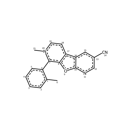 Cc1ccccc1-c1c2oc3ncc(C#N)cc3c2cc[n+]1C